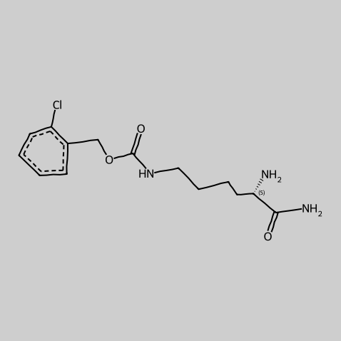 NC(=O)[C@@H](N)CCCCNC(=O)OCc1ccccc1Cl